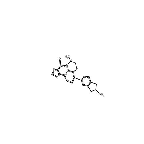 C[C@H]1COc2c(-c3ccc4c(c3)CC(N)C4)ccc3c4ocnc4c(=O)n1c23